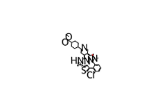 COC(=O)C1CCC(c2cc3c(N[C@H](C)c4cc(-c5c(Cl)cccc5CN(C)C)cs4)nnc(C)c3cn2)CC1